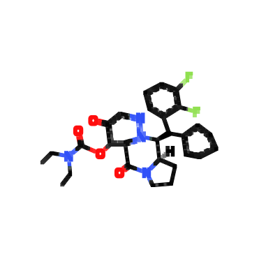 CCN(CC)C(=O)Oc1c2n(ncc1=O)[C@@H](C(c1ccccc1)c1cccc(F)c1F)[C@H]1CCCN1C2=O